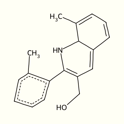 CC1=CC=CC2=CC(CO)=C(c3ccccc3C)NC12